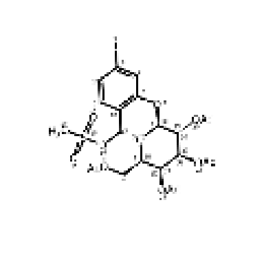 CC(=O)OC[C@H]1O[C@@H](Oc2cc(I)ccc2COS(C)(=O)=O)[C@H](OC(C)=O)[C@@H](OC(C)=O)[C@H]1OC(C)=O